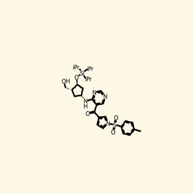 Cc1ccc(S(=O)(=O)n2ccc(C(=O)c3cncnc3N[C@@H]3C[C@H](CO)[C@@H](O[Si](C(C)C)(C(C)C)C(C)C)C3)c2)cc1